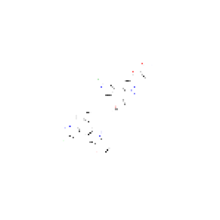 Cc1cc(-c2cc3c(=O)c(C#N)c[nH]c3nc2-c2ccc(CCc3cc(-c4cc5c(=O)c(C(N)=O)c[nH]c5nc4-c4ccc(C)o4)cc(Cl)n3)o2)cc(Cl)n1